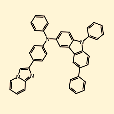 c1ccc(-c2ccc3c(c2)c2cc(N(c4ccccc4)c4ccc(-c5cn6ccccc6n5)cc4)ccc2n3-c2ccccc2)cc1